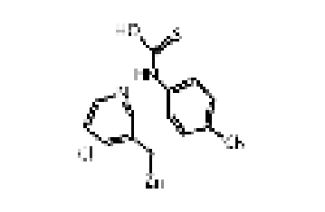 N#Cc1ccc(NC(O)=S)cc1.[Cl-].[Zn+][CH2]c1cccnc1